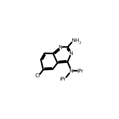 CC(C)N(c1nc(N)nc2ccc(Cl)cc12)C(C)C